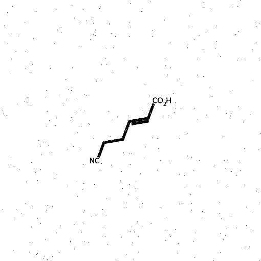 N#CCCC=CC(=O)O